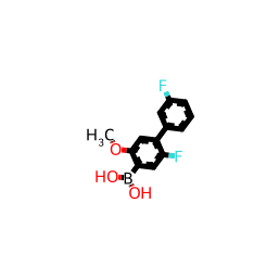 COc1cc(-c2cccc(F)c2)c(F)cc1B(O)O